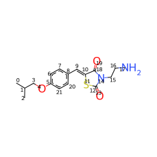 CC(C)COc1ccc(/C=C2\SC(=O)N(CCN)C2=O)cc1